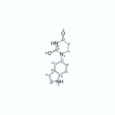 O=C1CCN(c2ccc3[nH]ccc3c2)C(=O)N1